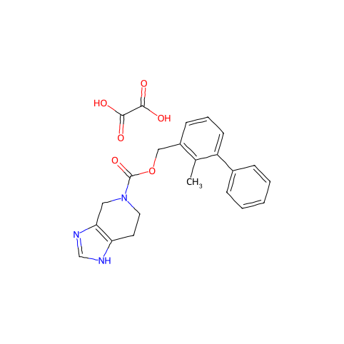 Cc1c(COC(=O)N2CCc3[nH]cnc3C2)cccc1-c1ccccc1.O=C(O)C(=O)O